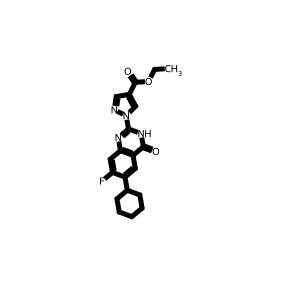 CCOC(=O)c1cnn(-c2nc3cc(F)c(C4CCCCC4)cc3c(=O)[nH]2)c1